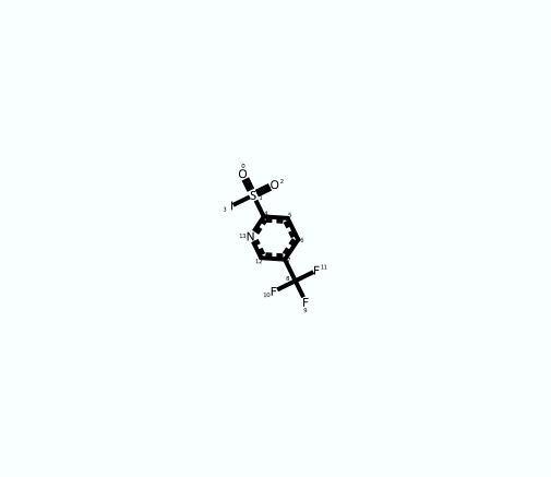 O=S(=O)(I)c1ccc(C(F)(F)F)cn1